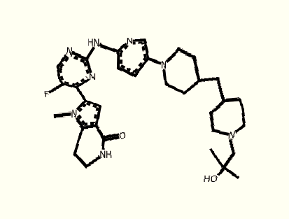 Cn1c(-c2nc(Nc3ccc(N4CCC(CC5CCN(CC(C)(C)O)CC5)CC4)cn3)ncc2F)cc2c1CCNC2=O